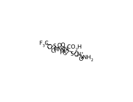 NC(=O)C[n+]1ccc(SCC2=C(C(=O)O)N3C(=O)[C@H](NC(=O)CSc4cc(C(F)(F)F)ccc4Cl)[C@H]3SC2)cc1